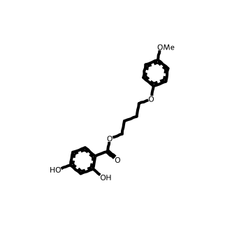 COc1ccc(OCCCCOC(=O)c2ccc(O)cc2O)cc1